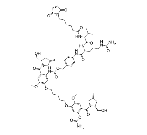 C=C1C[C@@H](CO)N(C(=O)c2cc(OC)c(OCCCCCOc3cc(OC(N)=O)c(C(=O)N4CC(=C)C[C@H]4CO)cc3OC)cc2NC(=O)OCc2ccc(NC(=O)C(CCCNC(N)=O)NC(=O)C(NC(=O)CCCCCN3C(=O)C=CC3=O)C(C)C)cc2)C1